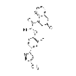 CCC(Oc1ccc(-n2cc(C)cn2)cc1F)C(=O)N1CC(=O)Cc2cccnc21